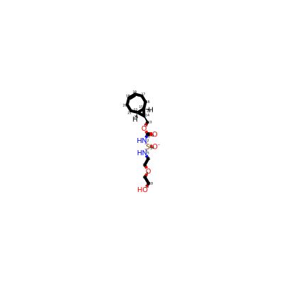 O=C(N[S+]([O-])NCCOCCO)OC[C@@H]1[C@@H]2CC/C=C\CC[C@@H]21